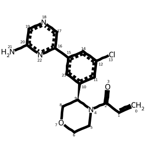 C=CC(=O)N1CCOC[C@H]1c1cc(Cl)cc(-c2cncc(N)n2)c1